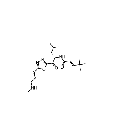 CNCCSc1nnc(C(=O)[C@H](CC(C)C)NC(=O)C=CC(C)(C)C)o1